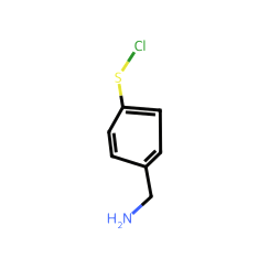 NCc1ccc(SCl)cc1